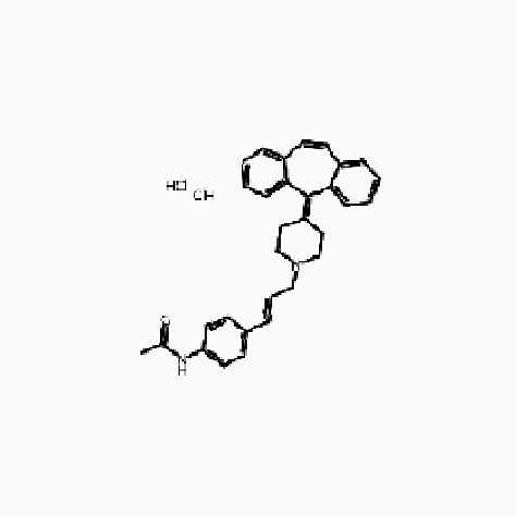 CC(=O)Nc1ccc(C=CCN2CCC(=C3c4ccccc4C=Cc4ccccc43)CC2)cc1.Cl.Cl